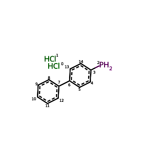 Cl.Cl.Pc1ccc(-c2ccccc2)cc1